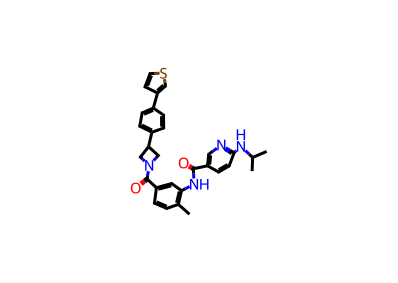 Cc1ccc(C(=O)N2CC(c3ccc(-c4ccsc4)cc3)C2)cc1NC(=O)c1ccc(NC(C)C)nc1